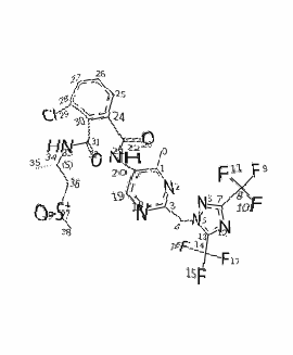 Cc1nc(Cn2nc(C(F)(F)F)nc2C(F)(F)F)ncc1NC(=O)c1cccc(Cl)c1C(=O)N[C@@H](C)C[S+](C)[O-]